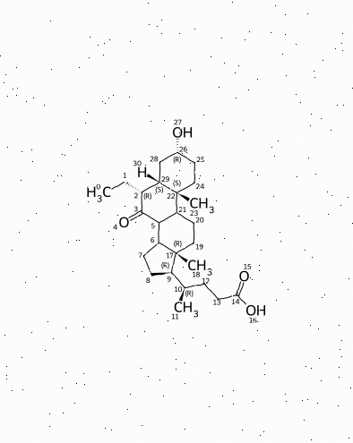 CC[C@H]1C(=O)C2C3CC[C@H]([C@H](C)CCC(=O)O)[C@@]3(C)CCC2[C@@]2(C)CC[C@@H](O)C[C@@H]12